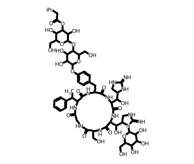 CC(C)CC(=O)OC1C(O)C(CO)OC(OC2C(CO)OC(Oc3ccc(CC4NC(=O)C(C(C)c5ccccc5)NC(=O)CNC(=O)C(CO)NC(=O)C(C(O)C5CNC(=N)N5C5OC(CO)C(O)C(O)C5O)NC(=O)C(C(O)C5CNC(=N)N5)NC4=O)cc3)C(O)C2O)C1O